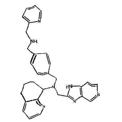 c1ccc(CNCc2ccc(CN(Cc3nc4cnccc4[nH]3)C3CCCc4cccnc43)cc2)nc1